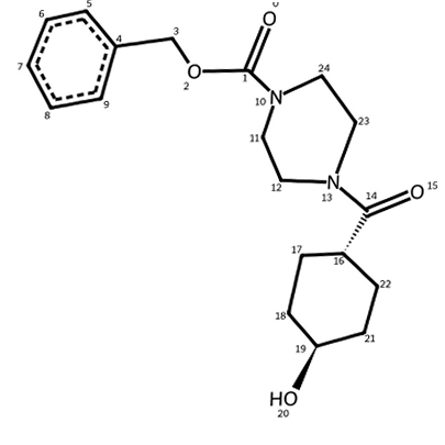 O=C(OCc1ccccc1)N1CCN(C(=O)[C@H]2CC[C@H](O)CC2)CC1